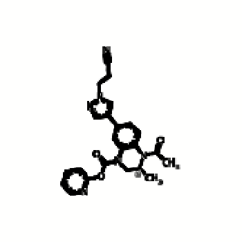 CC(=O)N1c2ccc(-c3cnn(CCC#N)c3)cc2N(C(=O)Oc2ccccn2)C[C@@H]1C